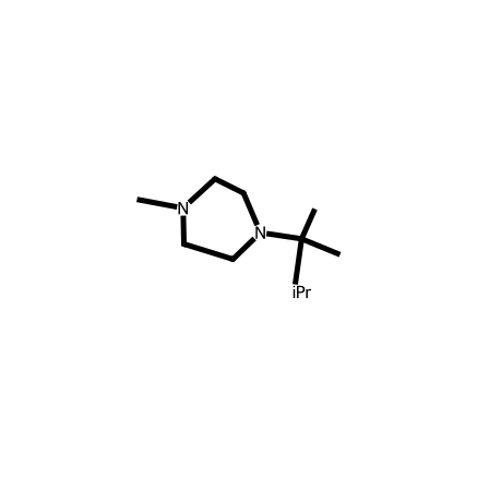 CC(C)C(C)(C)N1CCN(C)CC1